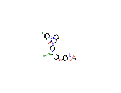 CS(=O)(=O)Nc1ccc(Oc2ccc(CN3CCC(N(Cc4ccccn4)C(=O)Nc4ccc(F)cc4F)CC3)cc2)cc1.Cl.Cl